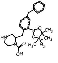 CC1(C)OB(c2cc(Cc3ccccc3)ccc2CC2CNCCN2C(=O)O)OC1(C)C